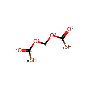 O=C(S)OCOC(=O)S